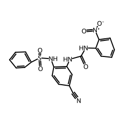 N#Cc1ccc(NS(=O)(=O)c2ccccc2)c(NC(=O)Nc2ccccc2[N+](=O)[O-])c1